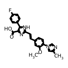 COc1cc(C=Cc2nc(C(=O)O)c(-c3ccc(F)cc3)[nH]2)ccc1-n1cnc(C)c1